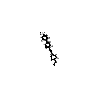 CCCC1CCC(C#Cc2ccc(-c3ccc(Cl)cc3)cc2)CC1